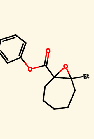 CCC12CCCCCC1(C(=O)Oc1ccccc1)O2